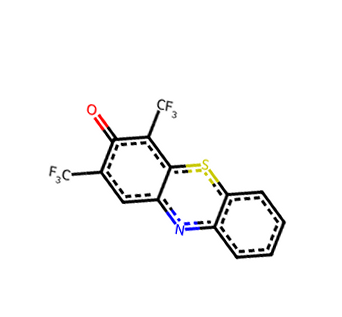 O=c1c(C(F)(F)F)cc2nc3ccccc3sc-2c1C(F)(F)F